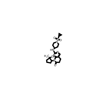 CC1(O)CCCC1N1C(=O)CCc2cnc(NC3CCN(S(=O)(=O)C4CC4)CC3)nc21